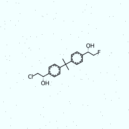 CC(C)(c1ccc([C@H](O)CF)cc1)c1ccc([C@H](O)CCl)cc1